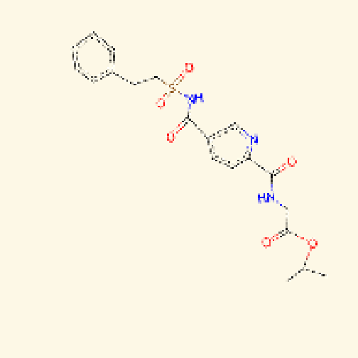 CC(C)OC(=O)CNC(=O)c1ccc(C(=O)NS(=O)(=O)CCc2ccccc2)cn1